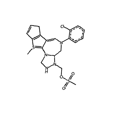 CS1=C2C(=CN(c3ccccc3Cl)CC3N(COS(C)(=O)=O)NCN23)C2=C1C=CC2